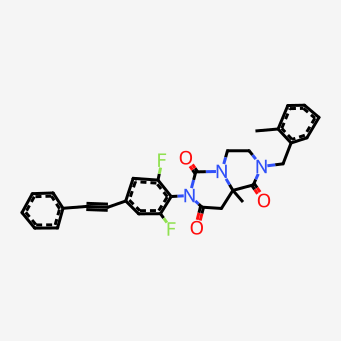 Cc1ccccc1CN1CCN2C(=O)N(c3c(F)cc(C#Cc4ccccc4)cc3F)C(=O)CC2(C)C1=O